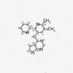 Cc1cc(Oc2ncnc3sccc23)c(-c2ccccn2)nc1C